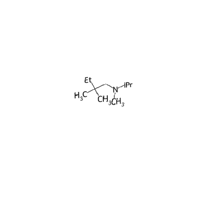 CCC(C)(C)CN(C)C(C)C